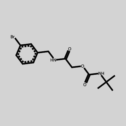 CC(C)(C)NC(=O)OCC(=O)NCc1cccc(Br)c1